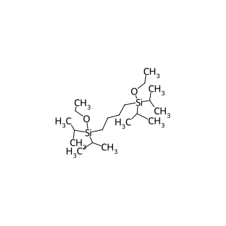 CCO[Si](CCCC[Si](OCC)(C(C)C)C(C)C)(C(C)C)C(C)C